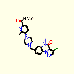 CNC(=O)c1ccc(N2CCN(Cc3ccc4c(c3)[nH]c(=O)c3c(F)cnn34)CC2)c(C)n1